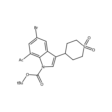 CC(=O)c1cc(Br)cc2c(C3CCS(=O)(=O)CC3)cn(C(=O)OC(C)(C)C)c12